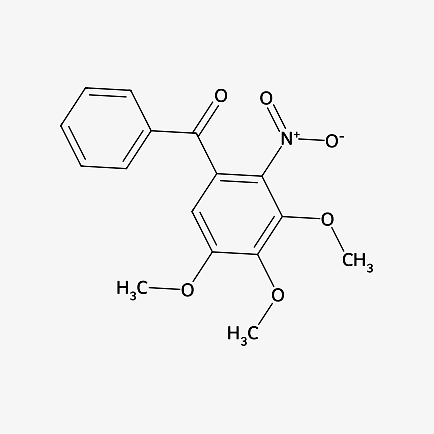 COc1cc(C(=O)c2ccccc2)c([N+](=O)[O-])c(OC)c1OC